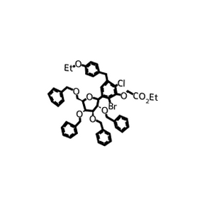 CCOC(=O)COc1c(Cl)c(Cc2ccc(OCC)cc2)cc(C2O[C@H](COCc3ccccc3)[C@@H](OCc3ccccc3)[C@H](OCc3ccccc3)[C@H]2OCc2ccccc2)c1Br